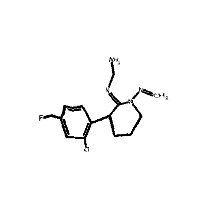 C=NN1CCCC(c2ccc(F)cc2Cl)/C1=N/CN